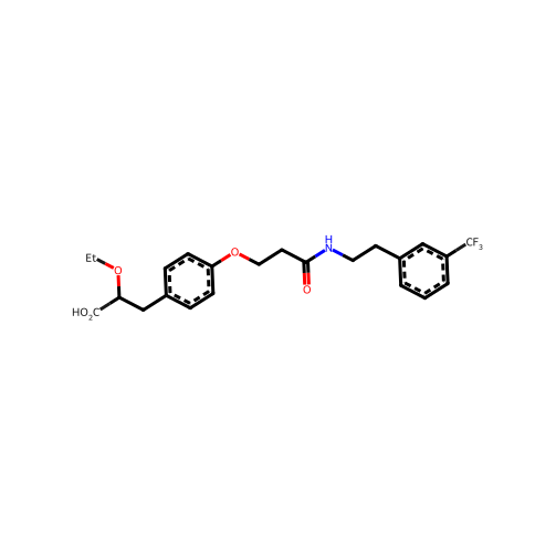 CCOC(Cc1ccc(OCCC(=O)NCCc2cccc(C(F)(F)F)c2)cc1)C(=O)O